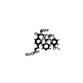 CONCCc1ccc(C(=O)N(C)OC)nc1[C@H]1CCC[C@@H](c2ncccc2C)N1C(=O)OC(C)(C)C